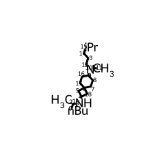 CCCCC(C)NC1CC2(CCC(N(C)CCCC(C)C)CC2)C1